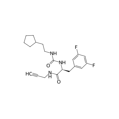 C#CCNC(=O)[C@H](Cc1cc(F)cc(F)c1)NC(=O)NCCC1CCCC1